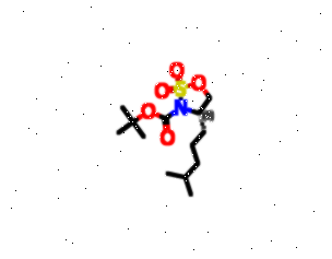 CC(C)CCC[C@H]1COS(=O)(=O)N1C(=O)OC(C)(C)C